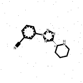 N#Cc1cccc(-n2nnc([C@H]3CCCCN3)n2)c1